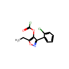 CCc1onc(-c2ccccc2Cl)c1OC(=O)Cl